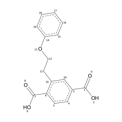 O=C(O)c1ccc(C(=O)O)c(CCOc2ccccc2)c1